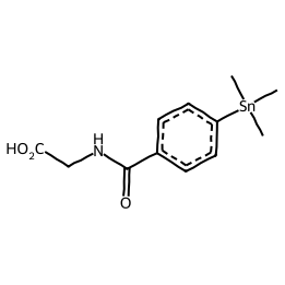 [CH3][Sn]([CH3])([CH3])[c]1ccc(C(=O)NCC(=O)O)cc1